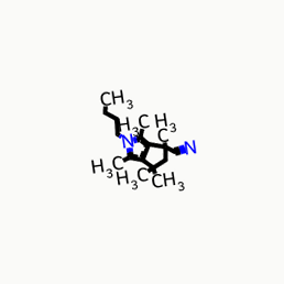 CCCCn1c(C)c2c(c1C)C(C)(C#N)CC2(C)C